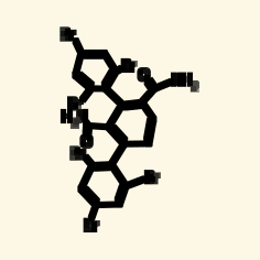 NC(=O)c1ccc(-c2c(Br)cc(Br)cc2Br)c(C(N)=O)c1-c1c(Br)cc(Br)cc1Br